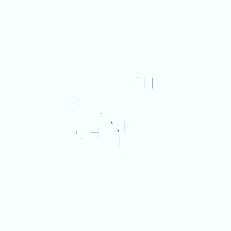 CC(CF)C[C@H](N)C(=O)O